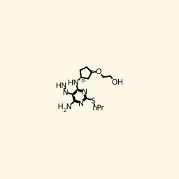 CCCSc1nc(N)c(N=N)c(N[C@H]2CC[C@@H](OCCO)C2)n1